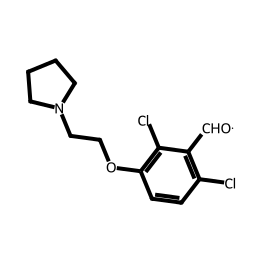 O=[C]c1c(Cl)ccc(OCCN2CCCC2)c1Cl